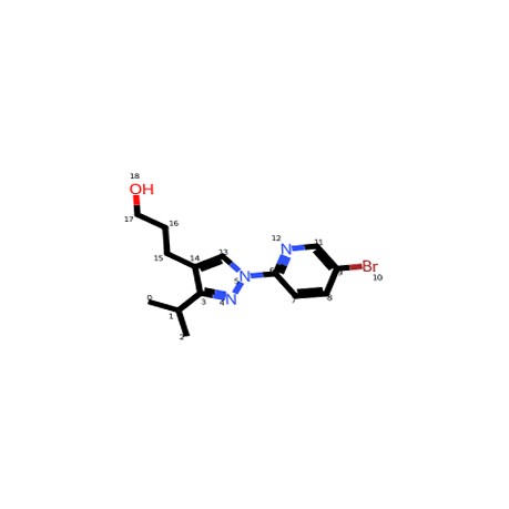 CC(C)c1nn(-c2ccc(Br)cn2)cc1CCCO